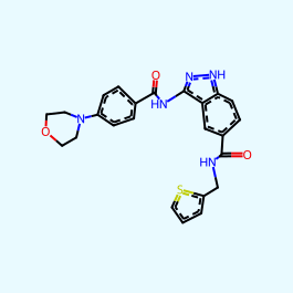 O=C(NCc1cccs1)c1ccc2[nH]nc(NC(=O)c3ccc(N4CCOCC4)cc3)c2c1